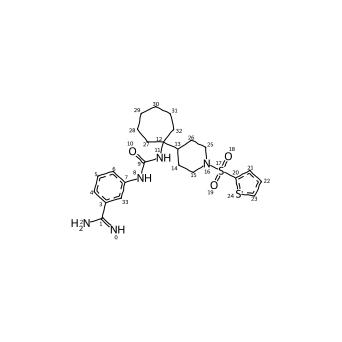 N=C(N)c1cccc(NC(=O)NC2(C3CCN(S(=O)(=O)c4cccs4)CC3)CCCCCC2)c1